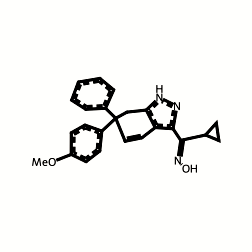 COc1ccc(C2(c3ccccc3)C=Cc3c(C(=NO)C4CC4)n[nH]c3C2)cc1